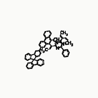 C/C=C\C(=C/C)c1nc(/C(=C/C)c2c(C)c3ccccc3c3ccc(-c4ccc5c(c4)-c4ccccc4C54c5ccccc5-c5ccccc54)cc23)nc(-c2ccccc2)n1